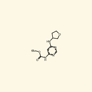 CC(C)(C)OC(=O)Nc1cc(NC2CCOC2)ncn1